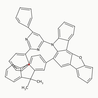 CC1(C)c2ccccc2-c2ccc(-c3cc4c5ccccc5oc4c4c5ccccc5n(-c5cc(-c6ccccc6)nc(-c6ccccc6)n5)c34)cc21